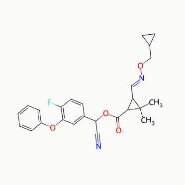 CC1(C)C(/C=N/OCC2CC2)C1C(=O)OC(C#N)c1ccc(F)c(Oc2ccccc2)c1